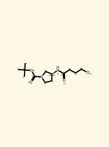 CC(C)(C)OC(=O)N1CC[C@H](NC(=O)CCCCl)C1